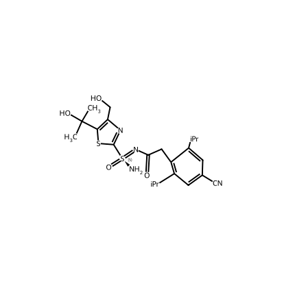 CC(C)c1cc(C#N)cc(C(C)C)c1CC(=O)N=[S@](N)(=O)c1nc(CO)c(C(C)(C)O)s1